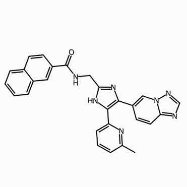 Cc1cccc(-c2[nH]c(CNC(=O)c3ccc4ccccc4c3)nc2-c2ccc3ncnn3c2)n1